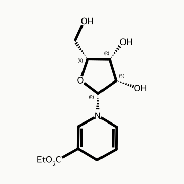 CCOC(=O)C1=CN([C@@H]2O[C@H](CO)[C@H](O)[C@@H]2O)C=CC1